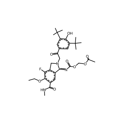 CCOc1c(C(=O)NC)cc2c(c1F)CN(CC(=O)c1cc(C(C)(C)C)c(O)c(C(C)(C)C)c1)/C2=N\C(=O)OCOC(C)=O